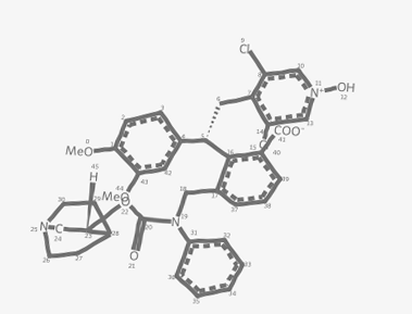 COc1ccc([C@H](Cc2c(Cl)c[n+](O)cc2Cl)c2c(CN(C(=O)O[C@H]3CN4CCC3CC4)c3ccccc3)cccc2C(=O)[O-])cc1OC